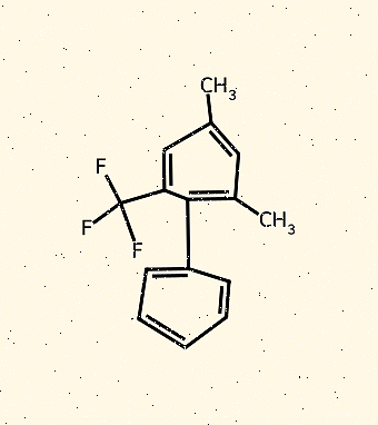 Cc1cc(C)c(-c2c[c]ccc2)c(C(F)(F)F)c1